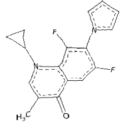 Cc1cn(C2CC2)c2c(F)c(-n3cccc3)c(F)cc2c1=O